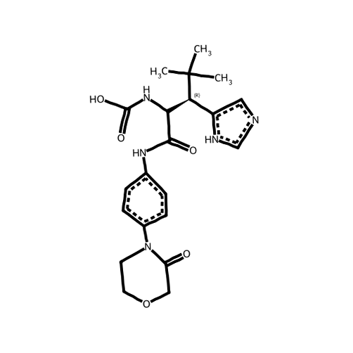 CC(C)(C)[C@@H](c1cnc[nH]1)C(NC(=O)O)C(=O)Nc1ccc(N2CCOCC2=O)cc1